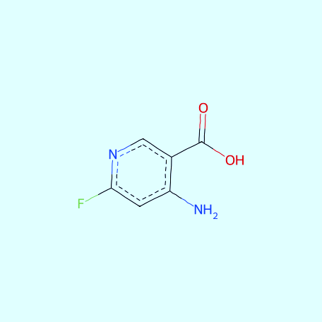 Nc1cc(F)ncc1C(=O)O